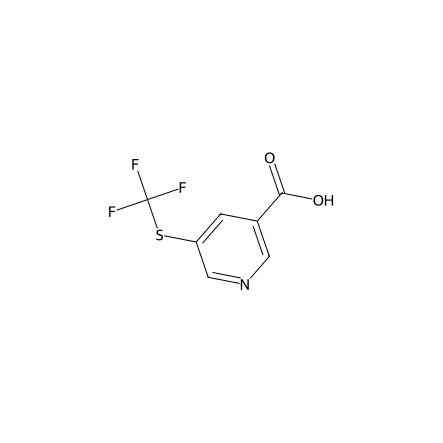 O=C(O)c1cncc(SC(F)(F)F)c1